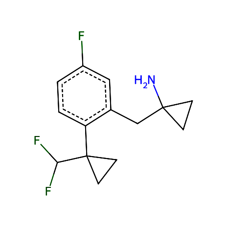 NC1(Cc2cc(F)ccc2C2(C(F)F)CC2)CC1